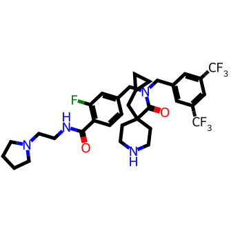 O=C(NCCN1CCCC1)c1ccc(CN(Cc2cc(C(F)(F)F)cc(C(F)(F)F)c2)C(=O)C2(CC3CC3)CCNCC2)cc1F